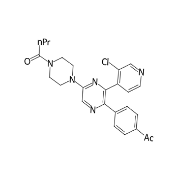 CCCC(=O)N1CCN(c2cnc(-c3ccc(C(C)=O)cc3)c(-c3ccncc3Cl)n2)CC1